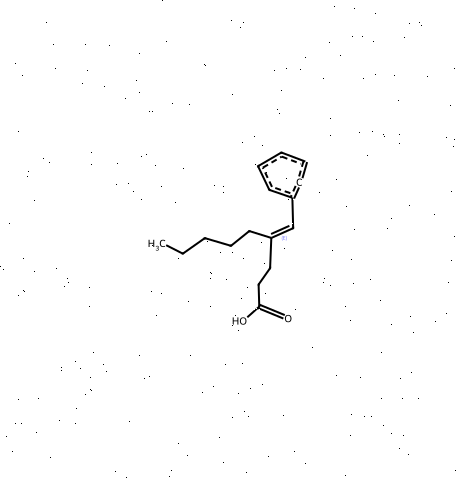 CCCCC/C(=C\c1ccccc1)CCC(=O)O